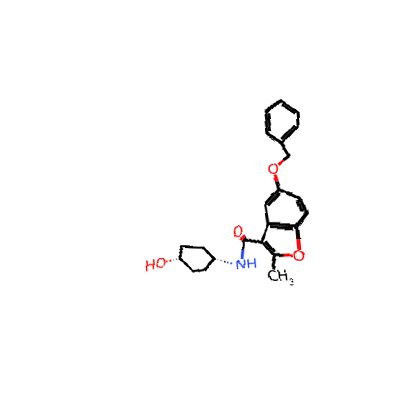 Cc1oc2ccc(OCc3ccccc3)cc2c1C(=O)N[C@H]1CC[C@@H](O)CC1